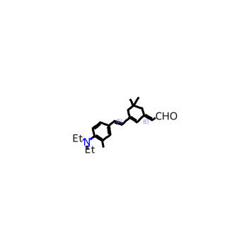 CCN(CC)c1ccc(/C=C/C2=CC(=C/C=O)/CC(C)(C)C2)cc1C